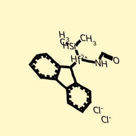 C[SiH](C)[Hf+2]([NH]C=O)[CH]1c2ccccc2-c2ccccc21.[Cl-].[Cl-]